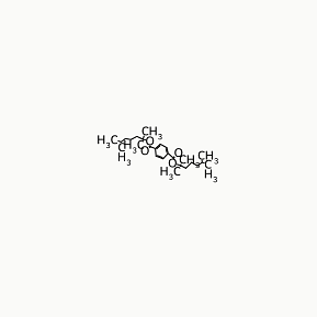 CC(C)CCCC(C)(C)OC(=O)c1ccc(C(=O)OC(C)(C)CCCC(C)C)cc1